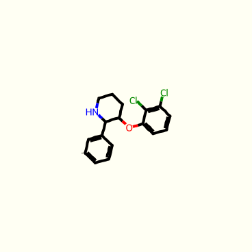 Clc1cccc(OC2CCCNC2c2c[c]ccc2)c1Cl